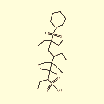 CCC(CC(CC)(CC)S(=O)(=O)N1CCCCC1)C(CC)(CC)C(F)(F)C(CC)S(=O)(=O)O